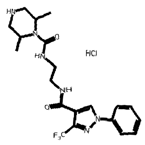 CC1CNCC(C)N1C(=O)NCCNC(=O)c1cn(-c2ccccc2)nc1C(F)(F)F.Cl